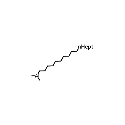 CCCCCCCCCCCCCCCC[CH2][Al]([CH3])[CH3]